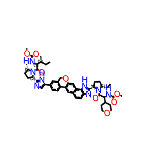 CC[C@H]1CC[C@@H](c2nc3ccc4cc5c(cc4c3[nH]2)OCc2cc(-c3cnc([C@@H]4CC[C@H](C)N4C(=O)[C@@H](NC(=O)OC)[C@@H](C)CC)[nH]3)ccc2-5)N1C(=O)C(NC(=O)OC)C1CCOCC1